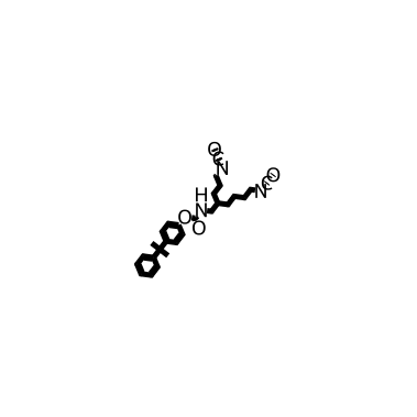 CC(C)(c1ccccc1)c1ccc(OC(=O)NCC(CCCCN=C=O)CCCN=C=O)cc1